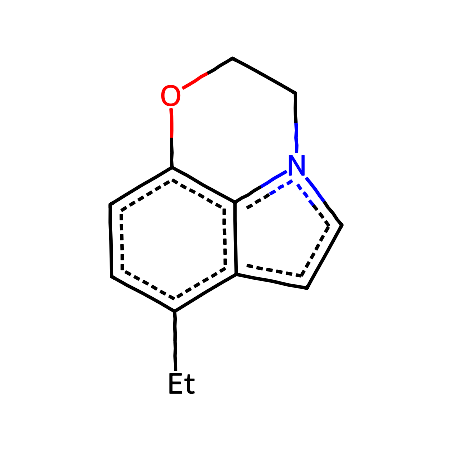 CCc1ccc2c3c1ccn3CCO2